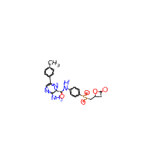 Cc1ccc(-c2cnc(N)c(C(=O)Nc3ccc(S(=O)(=O)CC4CC(=O)O4)cc3)n2)cc1